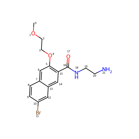 COCCOc1cc2ccc(Br)cc2cc1C(=O)NCCN